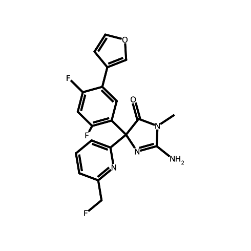 CN1C(=O)C(c2cccc(CF)n2)(c2cc(-c3ccoc3)c(F)cc2F)N=C1N